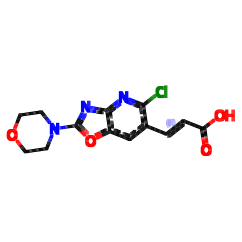 O=C(O)/C=C/c1cc2oc(N3CCOCC3)nc2nc1Cl